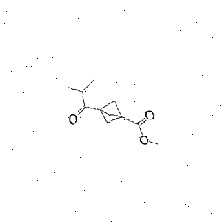 COC(=O)C12CC(C(=O)C(C)C)(C1)C2